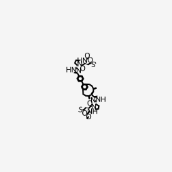 C=C1/C=C(/c2c[nH]c([C@@H]3CCCN3C(=O)[C@H](CCSC)NC(=O)OC)n2)C(=C)CCc2ccc(c(-c3ccc(-c4c[nH]c([C@@H]5CCCN5C(=O)[C@H](CCSC)NC(=O)OC)n4)cc3)c2)CC1